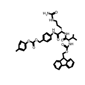 Cc1ccc(OC(=O)OCc2ccc(NC(=O)[C@H](CCCNC(N)=O)NC(=O)[C@@H](NC(=O)OCC3c4ccccc4-c4ccccc43)C(C)C)cc2)cc1